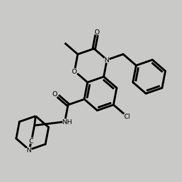 CC1Oc2c(C(=O)NC3CN4CCC3CC4)cc(Cl)cc2N(Cc2ccccc2)C1=O